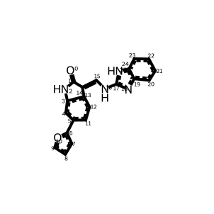 O=C1Nc2cc(-c3ccco3)ccc2/C1=C\Nc1nc2ccccc2[nH]1